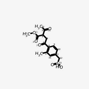 COC(=O)C(CC(=O)c1ccc(C[SH](=O)=O)cc1C)C(C)=O